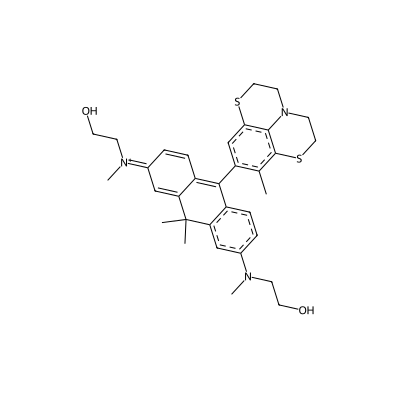 Cc1c(C2=C3C=C/C(=[N+](/C)CCO)C=C3C(C)(C)c3cc(N(C)CCO)ccc32)cc2c3c1SCCN3CCS2